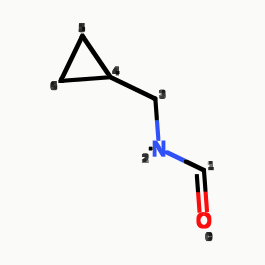 O=C[N]CC1CC1